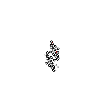 Cc1ccc(-c2ccccc2)cc1N(c1cc(-c2ccccc2)ccc1C)c1ccc2ccc3c(N(c4cc(-c5ccccc5)ccc4C)c4cc(-c5cccc(-c6cccc(-c7ccc(-c8ccccc8)c(N(c8cc(-c9ccccc9)ccc8C)c8ccc9ccc%10c(N(c%11cc(-c%12ccccc%12)ccc%11C)c%11cc(-c%12ccccc%12)ccc%11-c%11ccccc%11)ccc%11ccc8c9c%11%10)c7)c6)c5)ccc4C)ccc4ccc1c2c43